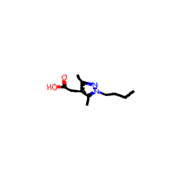 CCCCn1nc(C)c(CC(=O)O)c1C